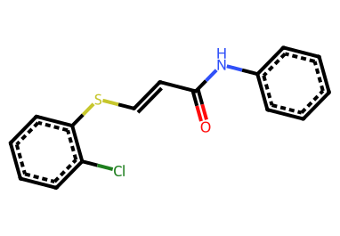 O=C(/C=C/Sc1ccccc1Cl)Nc1ccccc1